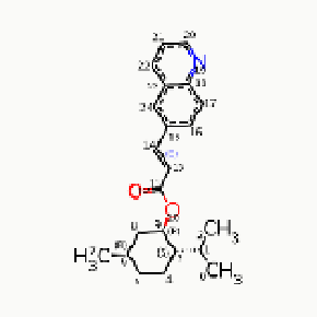 CC(C)[C@@H]1CC[C@@H](C)C[C@H]1OC(=O)/C=C/c1ccc2ncccc2c1